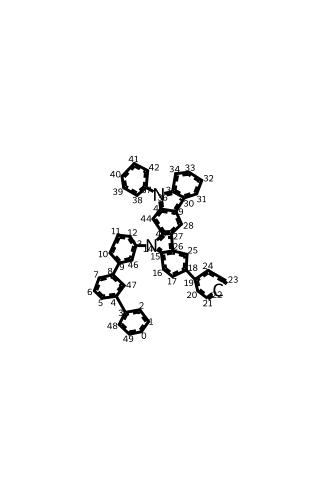 c1ccc(-c2cccc(-c3cccc(-n4c5ccc(-c6ccccc6)cc5c5cc6c7ccccc7n(-c7ccccc7)c6cc54)c3)c2)cc1